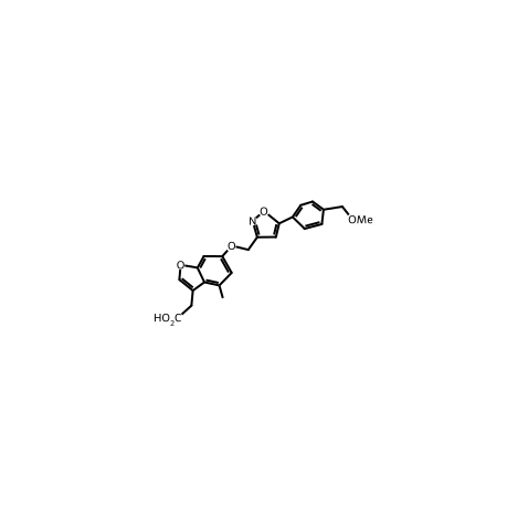 COCc1ccc(-c2cc(COc3cc(C)c4c(CC(=O)O)coc4c3)no2)cc1